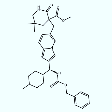 COC(=O)C1(Cc2ccc3nc([C@@H](NC(=O)OCc4ccccc4)C4CCC(C)CC4)cn3n2)CC(C)(C)CNC1=O